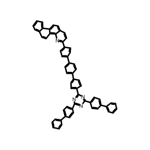 c1ccc(-c2ccc(-c3nc(-c4ccc(-c5ccccc5)cc4)nc(-c4ccc(-c5ccc(-c6ccc(-c7ccc8ccc9c%10ccccc%10ccc9c8n7)cc6)cc5)cc4)n3)cc2)cc1